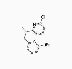 CC(C)c1cccc(CC(C)c2cccc(Cl)n2)n1